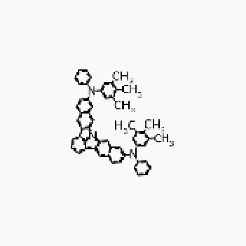 Cc1cc(N(c2ccccc2)c2ccc3cc4c5cccc6c7cc8ccc(N(c9ccccc9)c9cc(C)c(C)c(C)c9)cc8cc7n(c4cc3c2)c56)cc(C)c1C